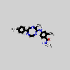 CNC(=O)c1ccc(Nc2ncc[nH]c(-c3ccc(C)cc3)cnc2C)cc1C